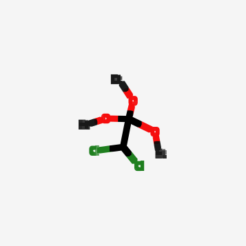 CCOC(OCC)(OCC)C(Cl)Cl